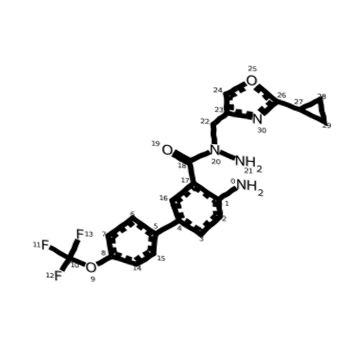 Nc1ccc(-c2ccc(OC(F)(F)F)cc2)cc1C(=O)N(N)Cc1coc(C2CC2)n1